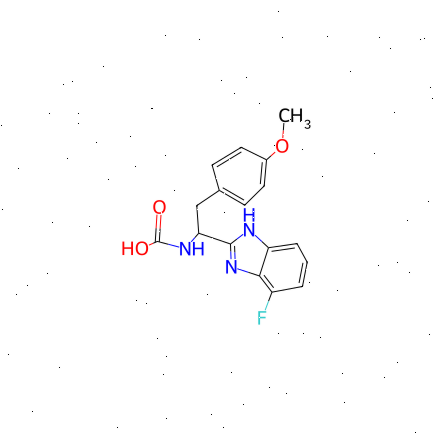 COc1ccc(CC(NC(=O)O)c2nc3c(F)cccc3[nH]2)cc1